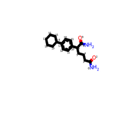 NC(=O)CCCC(C(N)=O)c1ccc(C2CCCCC2)cc1